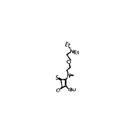 CCN(CC)CCOCCN(C)c1c(C(C)(C)C)c(=O)c1=S